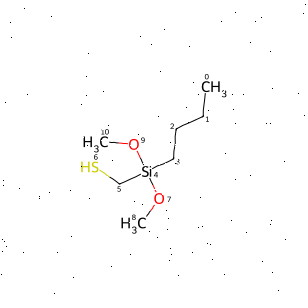 CCCC[Si](CS)(OC)OC